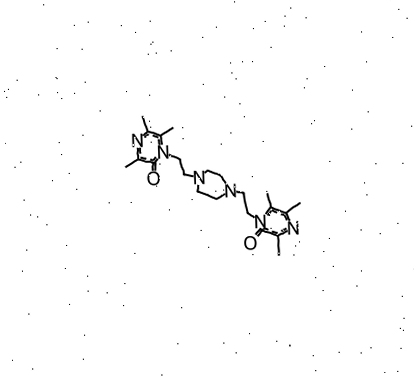 Cc1nc(C)c(=O)n(CCN2CCN(CCn3c(C)c(C)nc(C)c3=O)CC2)c1C